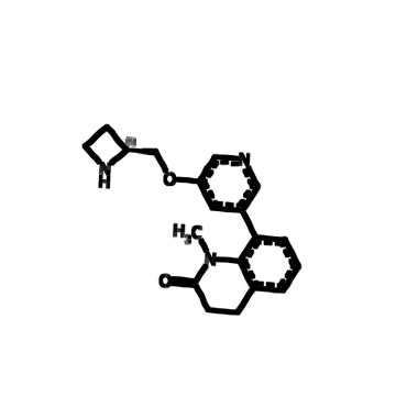 CN1C(=O)CCc2cccc(-c3cncc(OC[C@@H]4CCN4)c3)c21